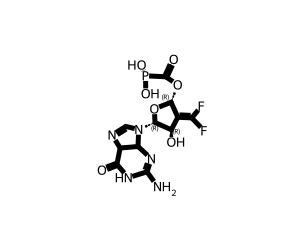 NC1=NC2C(N=CN2[C@@H]2O[C@H](OC(=O)P(O)O)C(=C(F)F)[C@H]2O)C(=O)N1